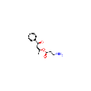 CC(=CC(=O)c1ccccc1)OC(=O)CCN